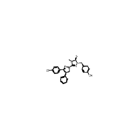 Cn1c(N2CC(c3ccccc3)C(c3ccc(Cl)cc3)=N2)nn(Cc2ccc(C#N)cc2)c1=O